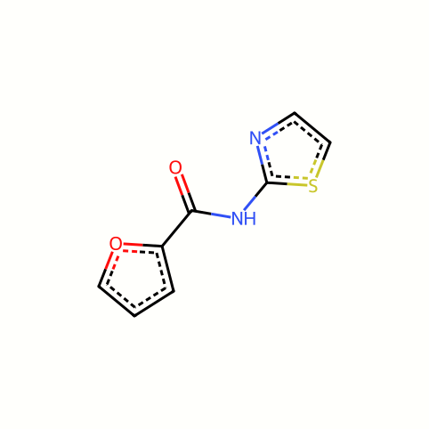 O=C(Nc1nccs1)c1ccco1